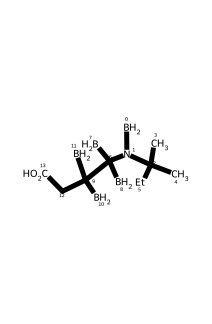 BN(C(C)(C)CC)C(B)(B)C(B)(B)CC(=O)O